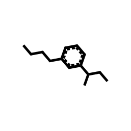 CCCCc1cccc(C(C)CC)c1